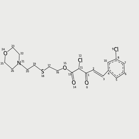 O=C(C=Cc1cccc(Cl)c1)C(Cl)C(=O)OCCSCCN1CCOCC1